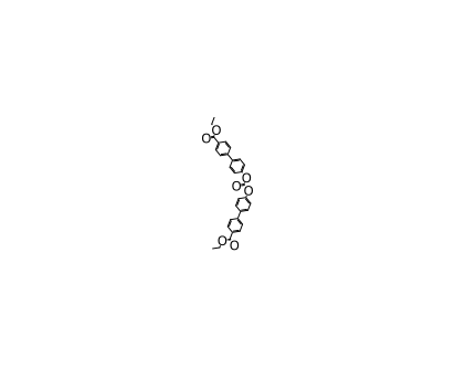 CCOC(=O)c1ccc(-c2ccc(OC(=O)Oc3ccc(-c4ccc(C(=O)OCC)cc4)cc3)cc2)cc1